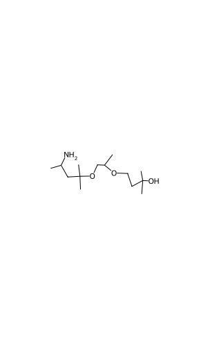 CC(N)CC(C)(C)OCC(C)OCCC(C)(C)O